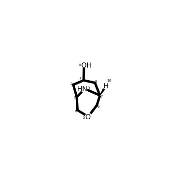 OC1CC2COC[C@@H](C1)N2